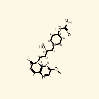 COc1cnc2ccc(=O)n(CC[C@H](O)CN3CCC(NC(=O)O)CC3)c2n1